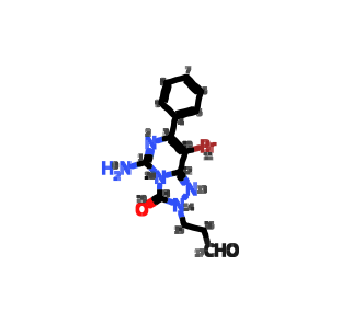 Nc1nc(-c2ccccc2)c(Br)c2nn(CCC=O)c(=O)n12